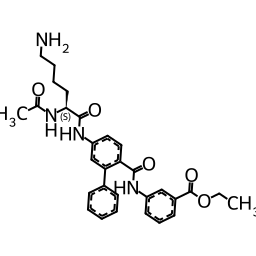 CCOC(=O)c1cccc(NC(=O)c2ccc(NC(=O)[C@H](CCCCN)NC(C)=O)cc2-c2ccccc2)c1